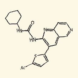 CC(=O)c1ccc(-c2cc3cnccc3nc2NC(=O)NC2CCCCC2)s1